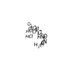 Cl.Cn1cnc(C(=O)NCc2ccc(COc3ccc(C(=O)CC4CCCC4)c(O)c3C(F)(F)F)cc2)c1